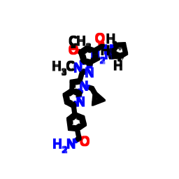 COc1cc(C(=O)N2C[C@H]3CC[C@@H]2[C@@H]3N)cc2nc(-c3cc4ccc(-c5ccc(C(N)=O)cc5)nc4n3CC3CC3)n(C)c12